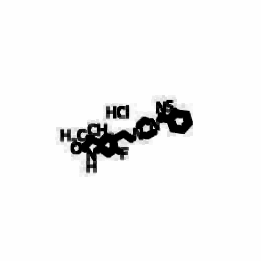 CC1(C)C(=O)Nc2cc(F)c(CCN3CCN(c4nsc5ccccc45)CC3)cc21.Cl